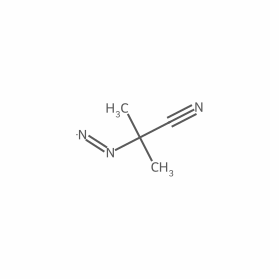 CC(C)(C#N)N=[N]